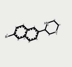 Brc1ccc2cc(C3COCCN3)ccc2c1